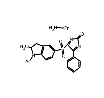 CC(=O)N1c2ccc(S(=O)(=O)C3=NC(=O)N=C3c3ccccc3)cc2CC1C.CC(C)N